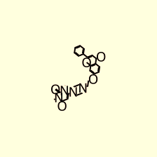 Cn1c(N2CCN(CCOc3ccc4c(=O)cc(-c5ccccc5)oc4c3)CC2)cc(=O)n(C)c1=O